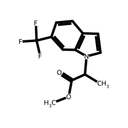 COC(=O)C(C)n1ccc2ccc(C(F)(F)F)cc21